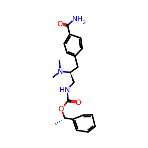 C[C@H](OC(=O)NC[C@H](Cc1ccc(C(N)=O)cc1)N(C)C)c1ccccc1